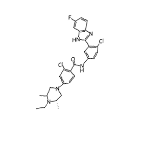 CCN1C(C)CN(c2ccc(C(=O)Nc3ccc(Cl)c(-c4nc5ccc(F)cc5[nH]4)c3)c(Cl)c2)C[C@@H]1C